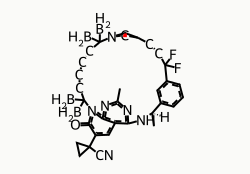 BC1(B)CCCCC(B)(B)n2c(=O)c(C3(C#N)CC3)cc3c(nc(C)nc32)N[C@H](C)c2cccc(c2)C(F)(F)CCC2CN1C2